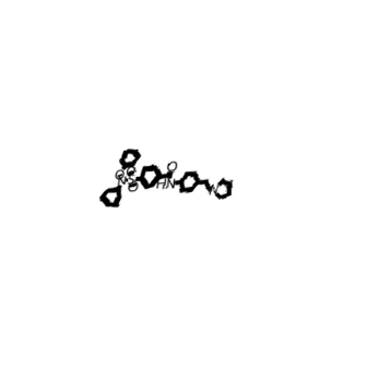 O=C(NC1CCC(CCN2CCCC2)CC1)c1ccc(S(=O)(=O)N(Oc2ccccc2)c2ccccc2)cc1